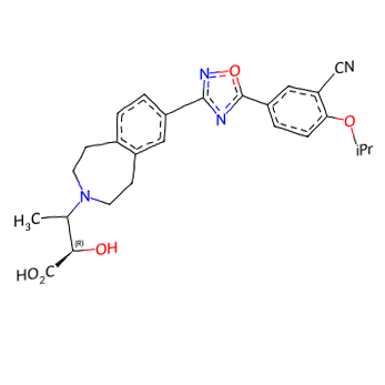 CC(C)Oc1ccc(-c2nc(-c3ccc4c(c3)CCN(C(C)[C@@H](O)C(=O)O)CC4)no2)cc1C#N